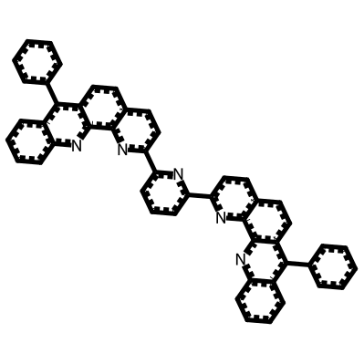 c1ccc(-c2c3ccccc3nc3c2ccc2ccc(-c4cccc(-c5ccc6ccc7c(-c8ccccc8)c8ccccc8nc7c6n5)n4)nc23)cc1